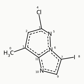 Cc1cc(Cl)nn2c(I)cnc12